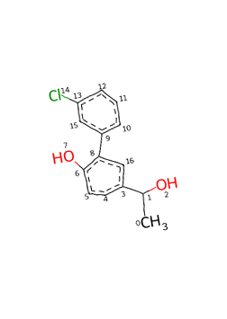 CC(O)c1ccc(O)c(-c2cccc(Cl)c2)c1